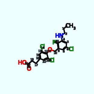 CCCNc1cc(Cl)cc(COc2c(Cl)cc(CCC(=O)O)cc2Cl)c1F